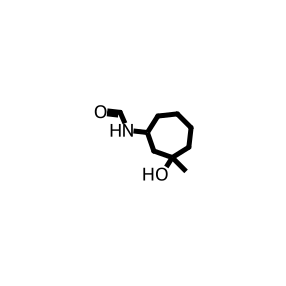 CC1(O)CCCCC(NC=O)C1